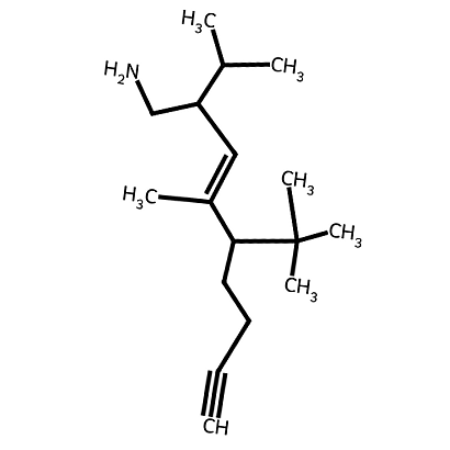 C#CCCC(/C(C)=C/C(CN)C(C)C)C(C)(C)C